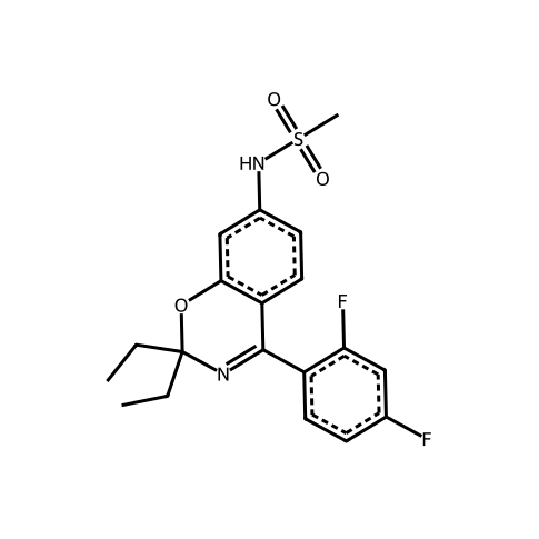 CCC1(CC)N=C(c2ccc(F)cc2F)c2ccc(NS(C)(=O)=O)cc2O1